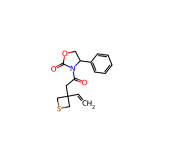 C=CC1(CC(=O)N2C(=O)OCC2c2ccccc2)CSC1